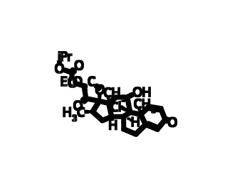 CCOC(=O)O[C@]1(C(=O)COC(=O)OC(C)C)[C@H](C)C[C@H]2[C@@H]3CCC4=CC(=O)C=C[C@]4(C)[C@@]3(Cl)C(O)C[C@@]21C